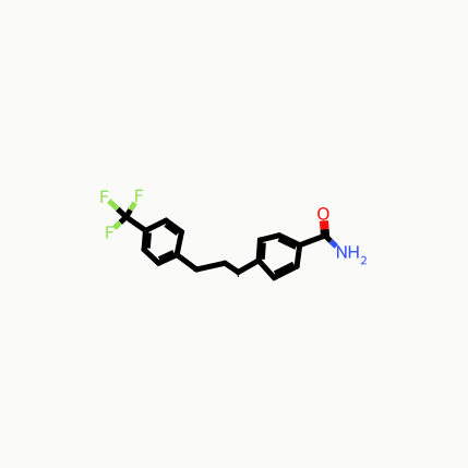 NC(=O)c1ccc([CH]CCc2ccc(C(F)(F)F)cc2)cc1